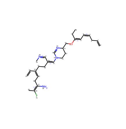 C=CC/C=C\C=C(/CC)OCC1CCN(/C=C(\C=N/C)CCC(C=C)=CC/C(N)=C(\C)F)C=N1